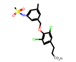 Cc1cc(COc2c(Cl)cc(CCC(=O)O)cc2Cl)cc(NS(C)(=O)=O)c1